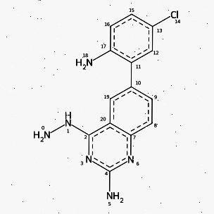 NNc1nc(N)nc2ccc(-c3cc(Cl)ccc3N)cc12